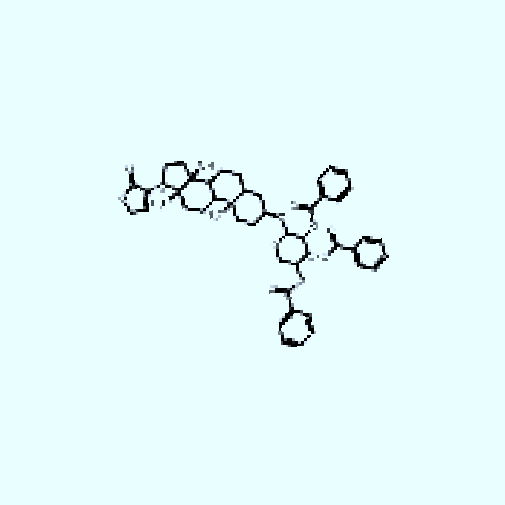 CC12CCC(OC3OCC(OC(=O)c4ccccc4)[C@@H](OC(=O)c4ccccc4)C3OC(=O)c3ccccc3)CC1CCC1C2CCC2(C)[C@@H](C3=CCOC3=O)CCC12O